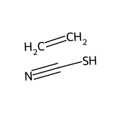 C=C.N#CS